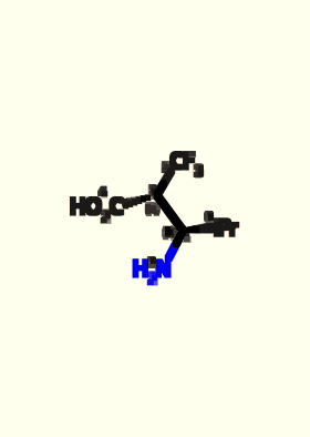 CC(C)[C@@H](N)[C@H](C(=O)O)C(F)(F)F